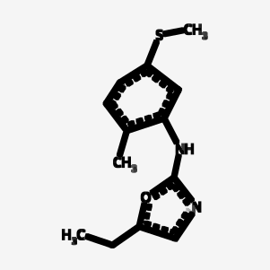 CCc1cnc(Nc2cc(SC)ccc2C)o1